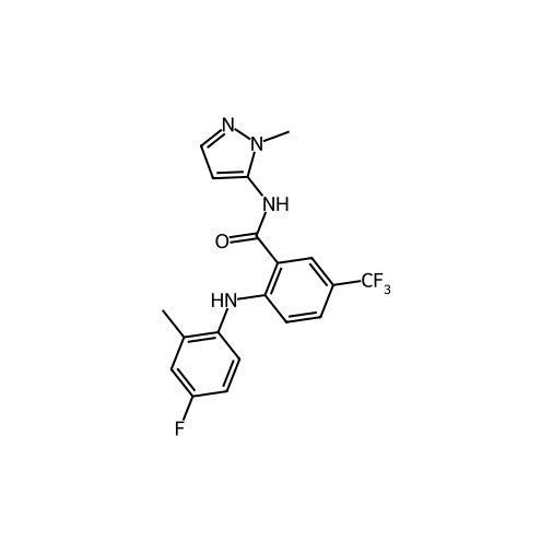 Cc1cc(F)ccc1Nc1ccc(C(F)(F)F)cc1C(=O)Nc1ccnn1C